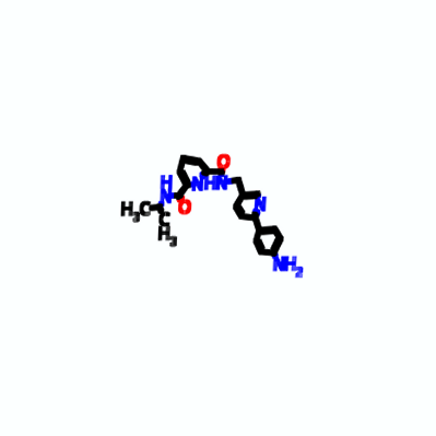 CC(C)NC(=O)c1cccc(C(=O)NCc2ccc(-c3ccc(N)cc3)nc2)n1